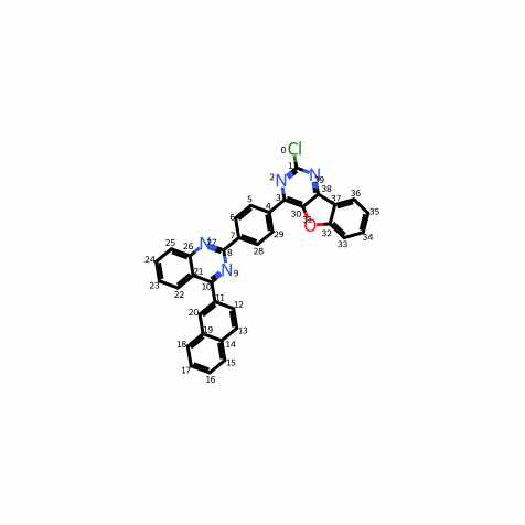 Clc1nc(-c2ccc(-c3nc(-c4ccc5ccccc5c4)c4ccccc4n3)cc2)c2oc3ccccc3c2n1